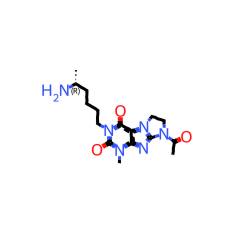 CC(=O)N1CCn2c1nc1c2c(=O)n(CCCC[C@@H](C)N)c(=O)n1C